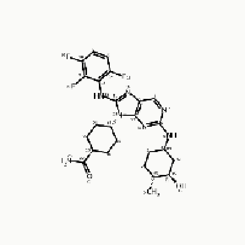 C[C@@H]1CC[C@@H](Nc2ncc3nc(Nc4c(F)ccc(F)c4F)n([C@H]4CC[C@H](C(N)=O)CC4)c3n2)C[C@H]1O